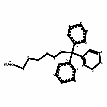 CCCCCCCCCCCCCCCCC(C1=CCC[C]=C1)(c1ccccc1)c1ccccc1